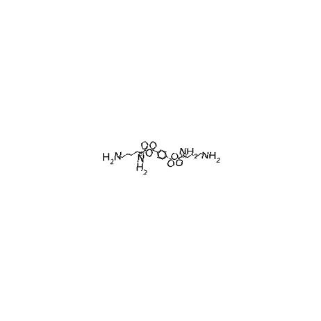 NCCCC[C@H](N)C(=O)OC(=O)c1ccc(C(=O)OC(=O)[C@@H](N)CCCCN)cc1